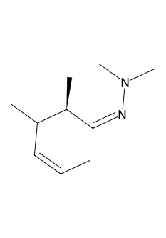 C/C=C\C(C)[C@@H](C)/C=N\N(C)C